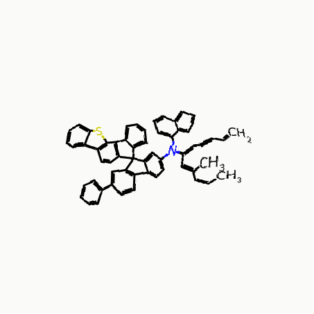 C=C/C=C/C=C(\C=C(C)\C=C/C)N(c1ccc2c(c1)C1(c3cc(-c4ccccc4)ccc3-2)c2ccccc2-c2c1ccc1c2sc2ccccc21)c1cccc2ccccc12